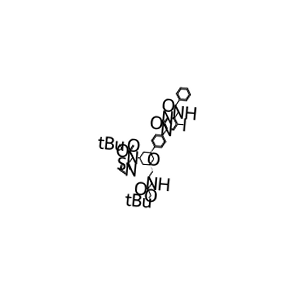 CC(C)(C)OC(=O)NCC[C@@H]1CC(N(C(=O)OC(C)(C)C)c2nccs2)C[C@@H](c2ccc(-n3cc(I)c(NC(=O)c4ccccc4)nc3=O)cc2)O1